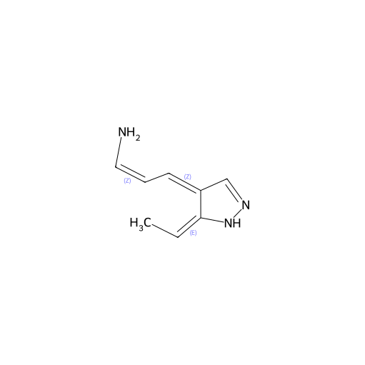 C/C=c1/[nH]nc/c1=C/C=C\N